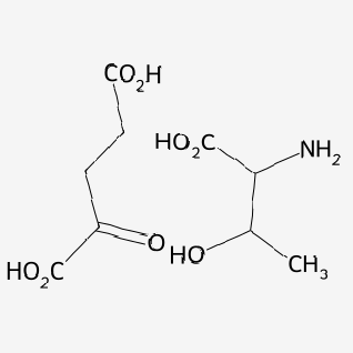 CC(O)C(N)C(=O)O.O=C(O)CCC(=O)C(=O)O